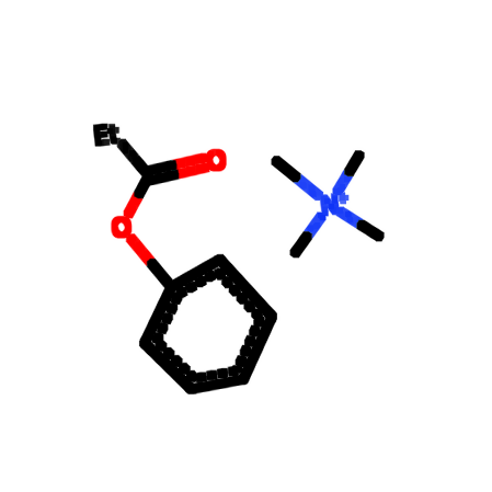 CCC(=O)Oc1ccccc1.C[N+](C)(C)C